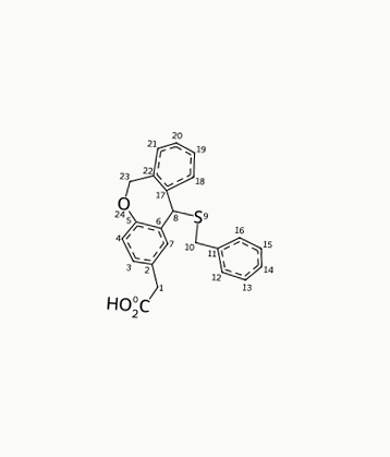 O=C(O)Cc1ccc2c(c1)C(SCc1ccccc1)c1ccccc1CO2